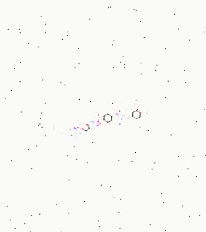 C=CC(=O)Nc1cc2c(o1)CN(S(=O)(=O)c1ccc(C(=O)NCCc3ccc(OC)c(OC)c3)cc1)C2